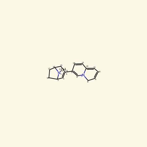 CN1C2C=C(C3=CN4CC=CC=C4C=C3)CC1CC2